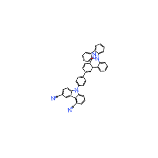 N#Cc1ccc2c(c1)c1c(C#N)cccc1n2-c1ccc(C2=CC(c3ccccc3-n3c4ccccc4c4ccccc43)C(C#N)C=C2)cc1